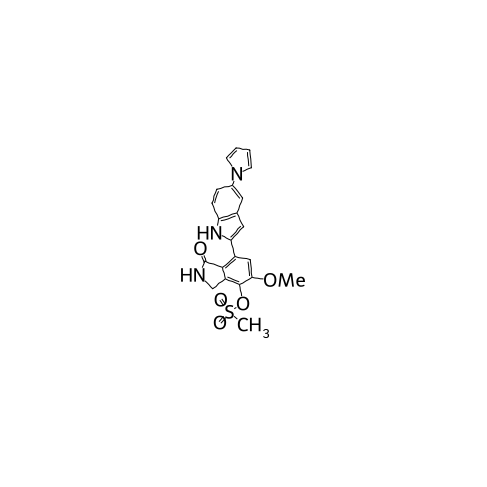 COc1cc(-c2cc3cc(-n4cccc4)ccc3[nH]2)c2c(c1OS(C)(=O)=O)CNC2=O